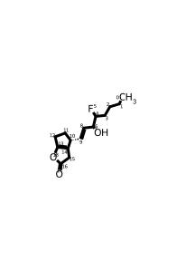 CCCCC(F)C(O)/C=C/[C@H]1CCC2=C1CC(=O)O2